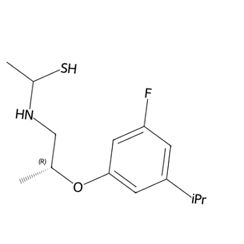 CC(S)NC[C@@H](C)Oc1cc(F)cc(C(C)C)c1